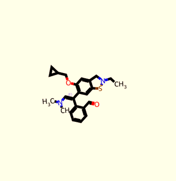 CCN1Cc2cc(OCC3CC3)c(/C(=C/N(C)C)c3ccccc3C=O)cc2S1